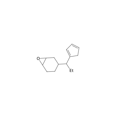 CCC(C1=CC=CC1)C1CCC2OC2C1